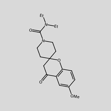 CCN(CC)C(=O)N1CCC2(CC1)CC(=O)c1cc(OC)ccc1O2